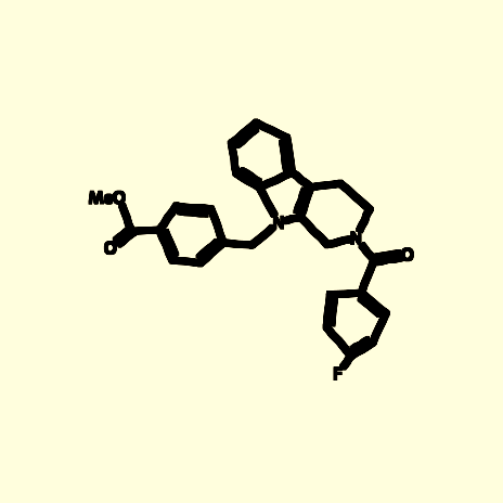 COC(=O)c1ccc(Cn2c3c(c4ccccc42)CCN(C(=O)c2ccc(F)cc2)C3)cc1